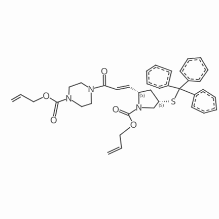 C=CCOC(=O)N1CCN(C(=O)C=C[C@@H]2C[C@H](SC(c3ccccc3)(c3ccccc3)c3ccccc3)CN2C(=O)OCC=C)CC1